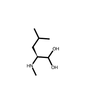 CN[C@@H](CC(C)C)C(O)O